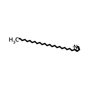 CCCCCCCCCCCCCCCCCCCCCCCC1=CC=C[N]1